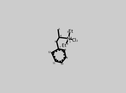 CC[N+](Cl)(CC)C(C)Cc1ccccc1